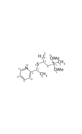 C[O][Ti]([CH3])([CH2]C(C)SC(C)c1ccccn1)[O]C